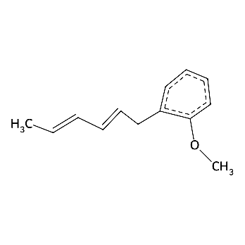 CC=CC=CCc1ccccc1OC